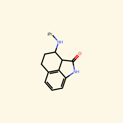 CC(C)NC1CCc2cccc3c2C1C(=O)N3